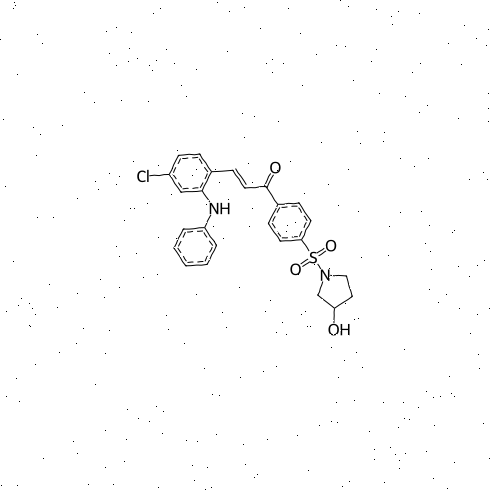 O=C(C=Cc1ccc(Cl)cc1Nc1ccccc1)c1ccc(S(=O)(=O)N2CCC(O)C2)cc1